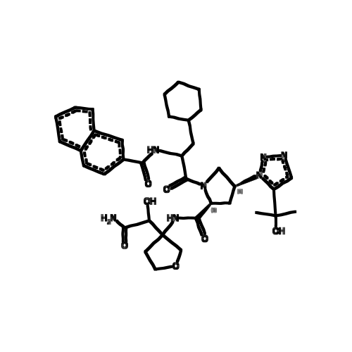 CC(C)(O)c1cnnn1[C@H]1C[C@@H](C(=O)NC2(C(O)C(N)=O)CCOC2)N(C(=O)C(CC2CCCCC2)NC(=O)c2ccc3ccccc3c2)C1